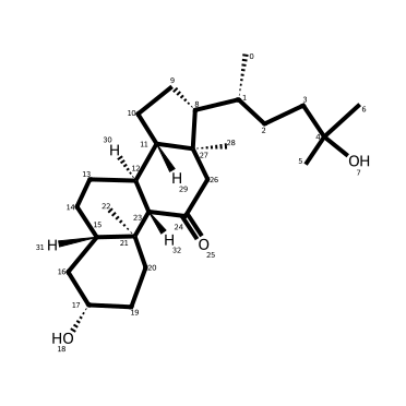 C[C@H](CCC(C)(C)O)[C@H]1CC[C@H]2[C@@H]3CC[C@H]4C[C@@H](O)CC[C@]4(C)[C@H]3C(=O)C[C@]12C